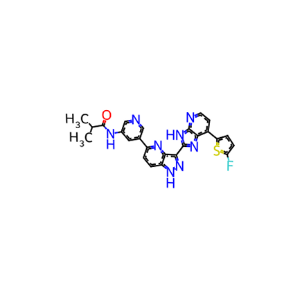 CC(C)C(=O)Nc1cncc(-c2ccc3[nH]nc(-c4nc5c(-c6ccc(F)s6)ccnc5[nH]4)c3n2)c1